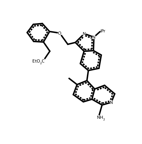 CCOC(=O)Cc1ccccc1OCc1nn(C(C)C)c2ccc(-c3c(C)ccc4c(N)nccc34)cc12